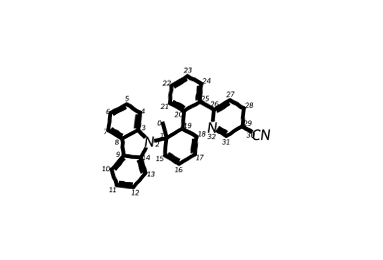 CC1(n2c3ccccc3c3ccccc32)C=CC=CC1c1ccccc1C1=CCC(C#N)C=N1